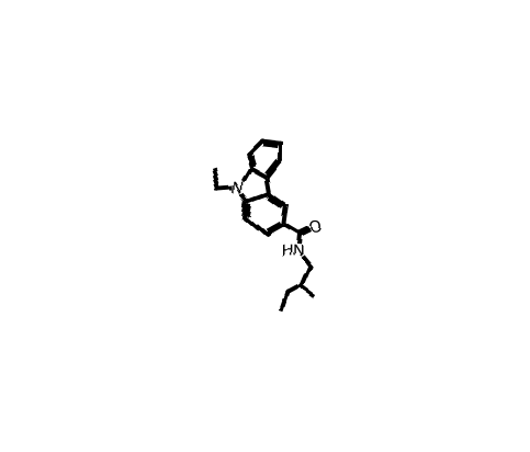 CCC(C)CNC(=O)c1ccc2c(c1)c1ccccc1n2CC